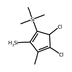 CC1=C(Cl)C(Cl)C([Si](C)(C)C)=C1[SiH3]